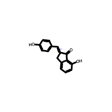 O=C1/C(=C/c2ccc(O)cc2)Cc2cccc(O)c21